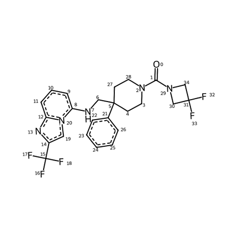 O=C(N1CCC(CNc2cccc3nc(C(F)(F)F)cn23)(c2ccccc2)CC1)N1CC(F)(F)C1